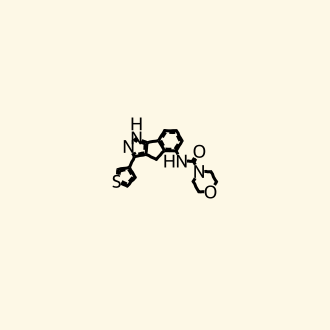 O=C(Nc1cccc2c1Cc1c(-c3ccsc3)n[nH]c1-2)N1CCOCC1